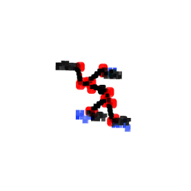 CCCCCCCCCC(=O)CCCCCCCC(=O)OCC(COC(=O)CCCCCCCC(=O)OCC(COC(=O)CCCCCCCC(=O)OC(N)CCC)OC(=O)CCCCCCCC(=O)OC(N)CCC)OC(=O)CCCCCCCC(=O)ONCCCC